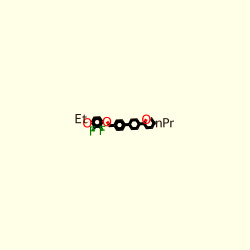 CCCC1CCC(C2CCC(c3ccc(COc4ccc(OCC)c(F)c4F)cc3)CC2)OC1